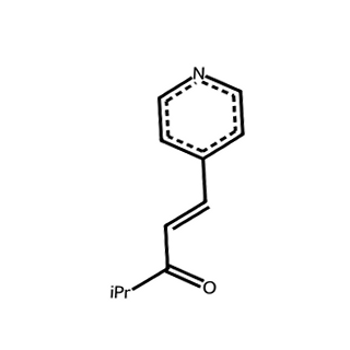 CC(C)C(=O)/C=C/c1ccncc1